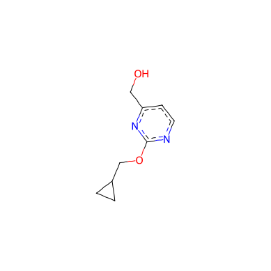 OCc1ccnc(OCC2CC2)n1